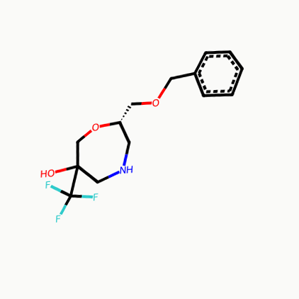 OC1(C(F)(F)F)CNC[C@@H](COCc2ccccc2)OC1